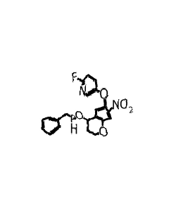 O=[N+]([O-])c1cc2c(cc1Oc1ccc(F)nc1)C(OPCc1ccccc1)CCO2